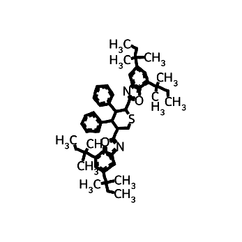 CCC(C)(C)c1cc(C(C)(C)CC)c2oc(C3CSC(c4nc5cc(C(C)(C)CC)cc(C(C)(C)CC)c5o4)C(c4ccccc4)C3c3ccccc3)nc2c1